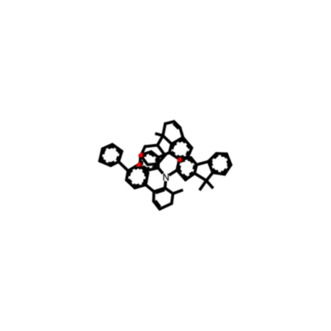 CC1CC=CC(c2ccc(-c3ccccc3)cc2)=C1N(c1ccc2c(c1)C(C)(C)c1ccccc1-2)c1ccccc1-c1cccc2c1C(C)(C1CCCCC1)CC=C2